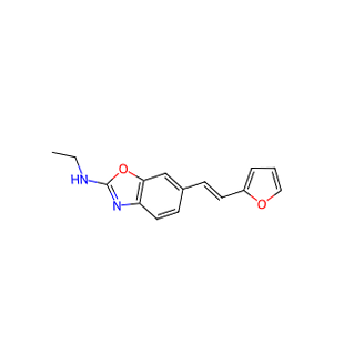 CCNc1nc2ccc(/C=C/c3ccco3)cc2o1